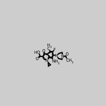 CC(=O)N1CCN(c2c(F)c(C)c3c(=O)c(C(=O)O)cn(C4CC4)c3c2N)CC1